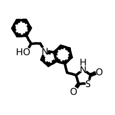 O=C1NC(Cc2cccc3c2ccn3CC(O)c2ccccc2)C(=O)S1